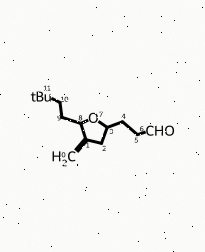 C=C1CC(CCC=O)OC1CCC(C)(C)C